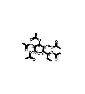 CC[C@H](OC(C)=O)[C@H]1O[C@H](OC(C)=O)[C@@H](OC(C)=O)[C@@H](OC(C)=O)[C@@H]1COC(C)=O